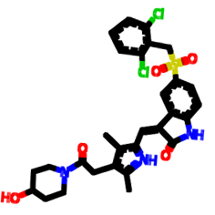 Cc1[nH]c(/C=C2\C(=O)Nc3ccc(S(=O)(=O)Cc4c(Cl)cccc4Cl)cc32)c(C)c1CC(=O)N1CCC(O)CC1